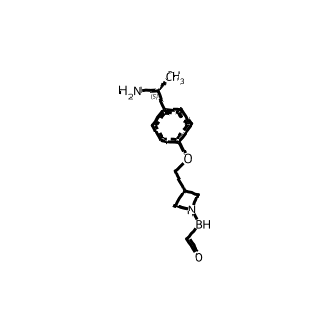 C[C@H](N)c1ccc(OCC2CN(BC=O)C2)cc1